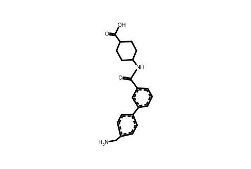 NCc1ccc(-c2cccc(C(=O)NC3CCC(C(=O)O)CC3)c2)cc1